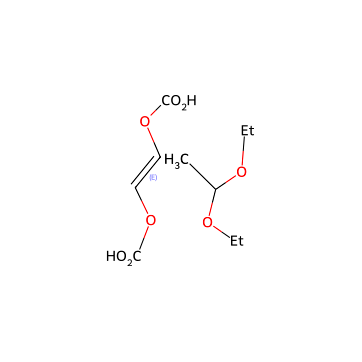 CCOC(C)OCC.O=C(O)O/C=C/OC(=O)O